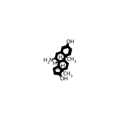 C[C@]12C=CC(O)=CC1C[C@H](N)[C@@H]1[C@@H]2CC[C@]2(C)C(O)=CC[C@@H]12